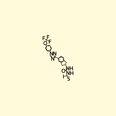 O=C(NC(=S)I)NC1Cc2ccc(-c3ncn(-c4ccc(OC(F)(F)F)cc4)n3)cc2C1